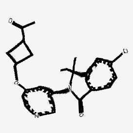 CC(=O)C1CC(Oc2cncc(N3C(=O)c4ccc(Cl)cc4C3(C)C)c2)C1